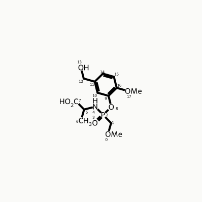 COCP(=O)(NC(C)C(=O)O)Oc1cc(CO)ccc1OC